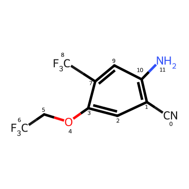 N#Cc1cc(OCC(F)(F)F)c(C(F)(F)F)cc1N